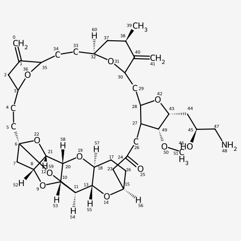 C=C1CC2CC[C@@]34C[C@H]5O[C@H]6[C@@H](O3)[C@H]3O[C@H](CC[C@@H]3O[C@H]6[C@H]5O4)CC(=O)CC3C(CC4O[C@@H](CCC1O2)C[C@@H](C)C4=C)O[C@H](C[C@H](O)CN)[C@@H]3OC